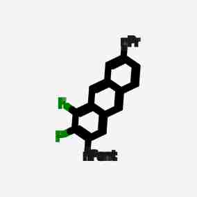 CCCCCc1cc2cc3ccc(CCC)cc3cc2c(F)c1F